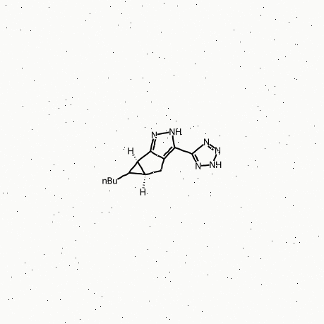 CCCCC1[C@H]2c3n[nH]c(-c4nn[nH]n4)c3C[C@@H]12